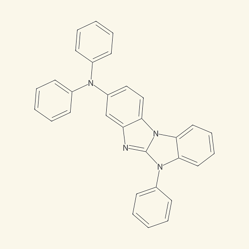 c1ccc(N(c2ccccc2)c2ccc3c(c2)nc2n(-c4ccccc4)c4ccccc4n32)cc1